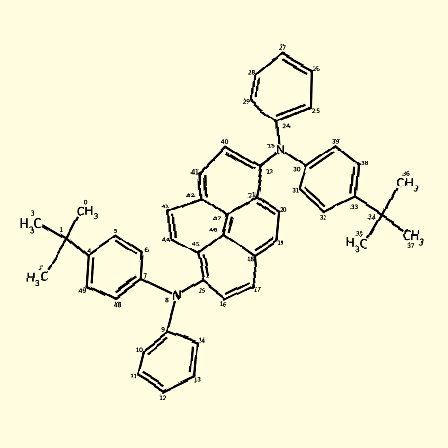 CC(C)(C)c1ccc(N(c2ccccc2)c2ccc3ccc4c(N(c5ccccc5)c5ccc(C(C)(C)C)cc5)ccc5ccc2c3c54)cc1